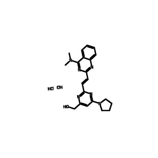 CN(C)c1nc(C=Cc2nc(CO)cc(N3CCCC3)n2)nc2ccccc12.Cl.Cl